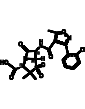 Cc1onc(-c2ccccc2Cl)c1C(=O)N[C@@H]1C(=O)N2[C@@H](C(=O)O)C(C)(C)S(=O)(=O)[C@H]12